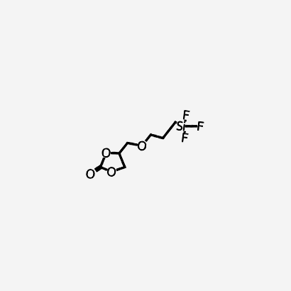 O=C1OCC(COCCC[Si](F)(F)F)O1